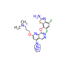 CN(C)CCCOc1cc(N2CC3CCC(C2)N3)c2cnnc(Oc3c(F)cc(F)c4nc(N)sc34)c2n1